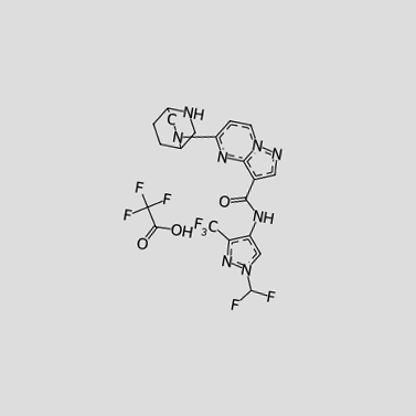 O=C(Nc1cn(C(F)F)nc1C(F)(F)F)c1cnn2ccc(N3CC4CCC3CN4)nc12.O=C(O)C(F)(F)F